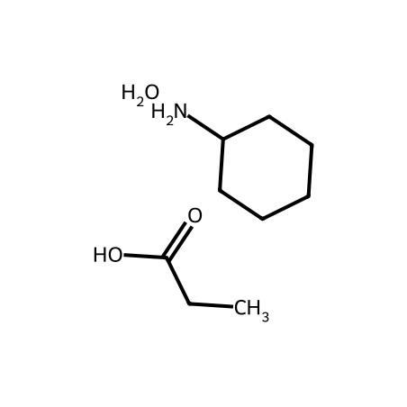 CCC(=O)O.NC1CCCCC1.O